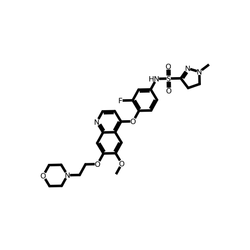 COc1cc2c(Oc3ccc(NS(=O)(=O)C4=NN(C)CC4)cc3F)ccnc2cc1OCCN1CCOCC1